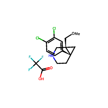 COC[C@]12CNCC[C@@]1(c1ccc(Cl)c(Cl)c1)C2.O=C(O)C(F)(F)F